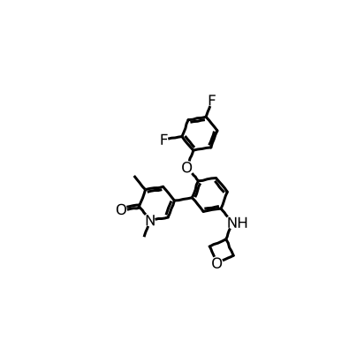 Cc1cc(-c2cc(NC3COC3)ccc2Oc2ccc(F)cc2F)cn(C)c1=O